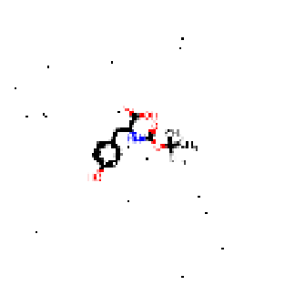 CC(C)(C)OC(=O)NC(Cc1ccc(O)cc1)C(=O)O